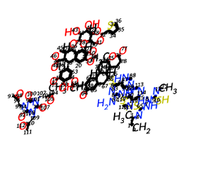 C=CC(C)N=C(S)NNC(S)=NC.COc1cc([C@@H]2c3cc4c(cc3[C@@H](O[C@@H]3O[C@@H]5COC(c6cccs6)O[C@H]5[C@H](O)[C@H]3O)[C@H]3COC(=O)[C@H]23)OCO4)cc(OC)c1O.C[C@]12C=CC(=O)C=C1CC[C@@H]1[C@@H]2CC[C@]2(C)OC(=O)CC[C@@H]12.Nc1nc(=S)c2[nH]cnc2[nH]1.O=c1n(C[C@H]2CO2)c(=O)n(C[C@@H]2CO2)c(=O)n1C[C@H]1CO1.c1ncc2ncsc2n1